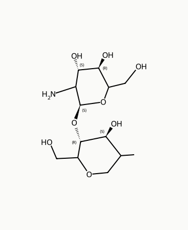 CC1COC(CO)[C@H](O[C@@H]2OC(CO)[C@H](O)[C@@H](O)C2N)[C@H]1O